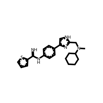 CN(Cc1nc(-c2ccc(NC(=N)c3cccs3)cc2)c[nH]1)C1CCCCC1